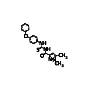 Cc1cc(C(=O)NC(=S)Nc2ccc(Oc3ccccc3)cc2)nn1C